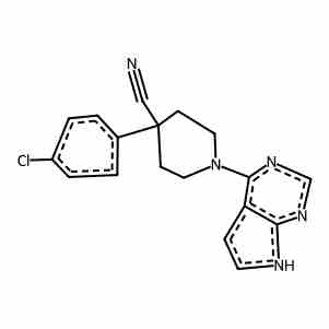 N#CC1(c2ccc(Cl)cc2)CCN(c2ncnc3[nH]ccc23)CC1